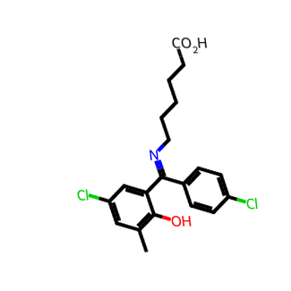 Cc1cc(Cl)cc(C(=NCCCCCC(=O)O)c2ccc(Cl)cc2)c1O